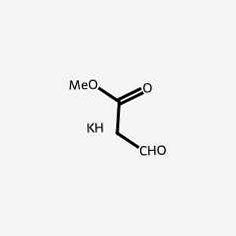 COC(=O)CC=O.[KH]